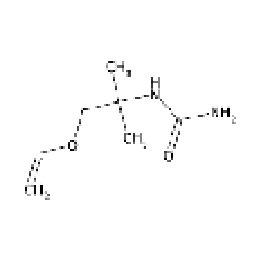 C=COCC(C)(C)NC(N)=O